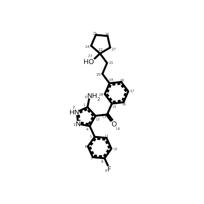 Nc1[nH]nc(-c2ccc(F)cc2)c1C(=O)c1cccc(CCC2(O)CCCC2)c1